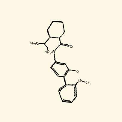 COC(O)N1CCCCC1C(=O)Nc1ccc(-c2ccccc2OC(F)(F)F)c(Cl)c1